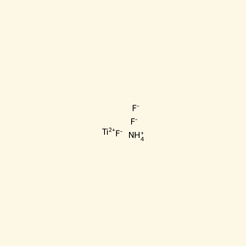 [F-].[F-].[F-].[NH4+].[Ti+2]